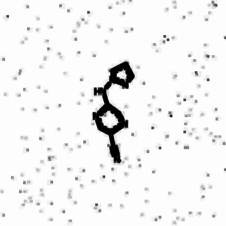 N#Cc1cnc(Nn2[c]ccn2)cn1